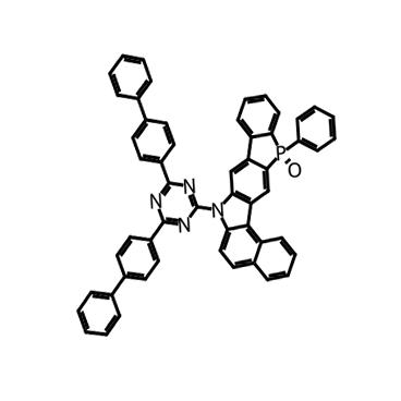 O=P1(c2ccccc2)c2ccccc2-c2cc3c(cc21)c1c2ccccc2ccc1n3-c1nc(-c2ccc(-c3ccccc3)cc2)nc(-c2ccc(-c3ccccc3)cc2)n1